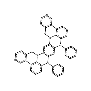 c1ccc(N2c3cc4c(cc3B3Sc5ccncc5-c5cccc2c53)B2Sc3ccncc3-c3cccc(c32)N4c2ccccc2)cc1